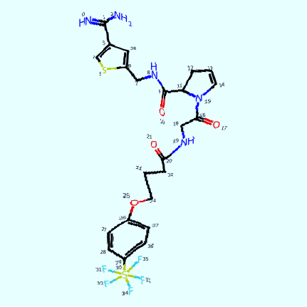 N=C(N)c1csc(CNC(=O)C2CC=CN2C(=O)CNC(=O)CCCOc2ccc(S(F)(F)(F)(F)F)cc2)c1